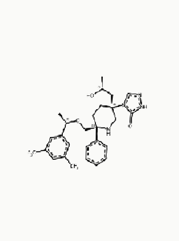 C[C@H](O)C[C@]1(n2cn[nH]c2=O)CC[C@@](CO[C@H](C)c2cc(C(F)(F)F)cc(C(F)(F)F)c2)(c2ccccc2)NC1